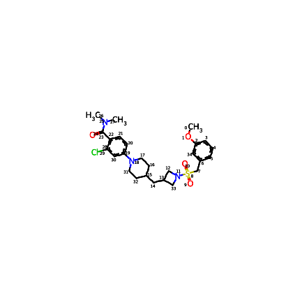 COc1cccc(CS(=O)(=O)N2CC(CC3CCN(c4ccc(C(=O)N(C)C)c(Cl)c4)CC3)C2)c1